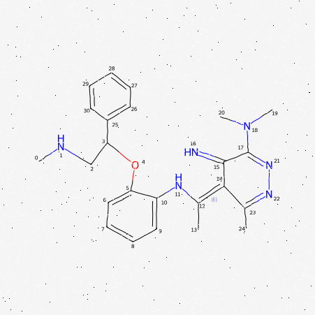 CNCC(Oc1ccccc1N/C(C)=C1\C(=N)C(N(C)C)=NN=C1C)c1ccccc1